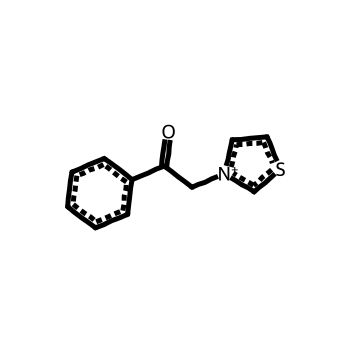 O=C(C[n+]1ccsc1)c1ccccc1